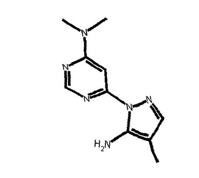 Cc1cnn(-c2cc(N(C)C)ncn2)c1N